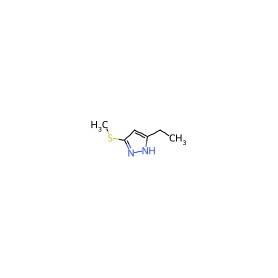 CCc1cc(SC)n[nH]1